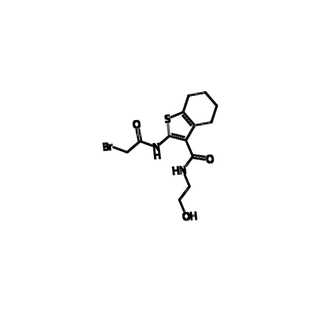 O=C(CBr)Nc1sc2c(c1C(=O)NCCO)CCCC2